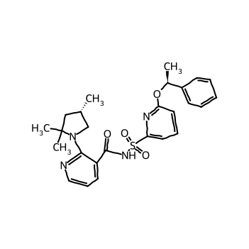 C[C@@H]1CN(c2ncccc2C(=O)NS(=O)(=O)c2cccc(O[C@@H](C)c3ccccc3)n2)C(C)(C)C1